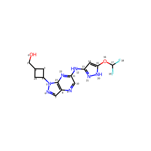 OCC1CC(n2ncc3ncc(Nc4cc(OC(F)F)[nH]n4)nc32)C1